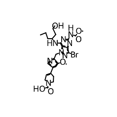 CCCC(CCO)Nc1nc(NC(=O)OC)nc2c(Br)nn(Cc3ncc(C4=CCN(C(=O)O)CC4)cc3OC)c12